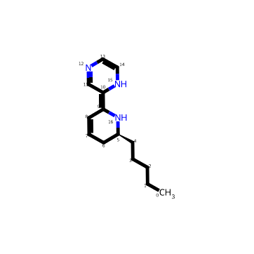 CCCCC[C@H]1CC=C/C(=C2\C=NC=CN2)N1